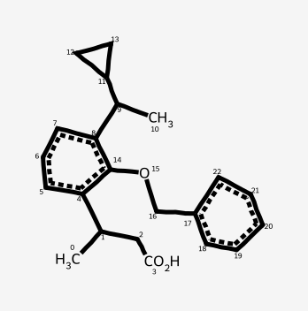 CC(CC(=O)O)c1cccc(C(C)C2CC2)c1OCc1ccccc1